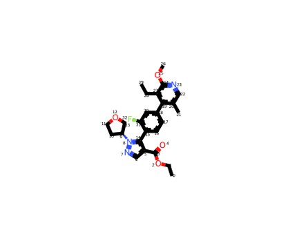 CCOC(=O)c1cnn([C@H]2CCOC2)c1-c1ccc(-c2c(C)cnc(OC)c2CC)cc1F